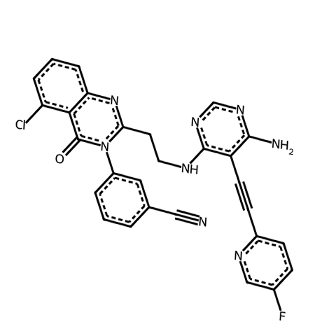 N#Cc1cccc(-n2c(CCNc3ncnc(N)c3C#Cc3ccc(F)cn3)nc3cccc(Cl)c3c2=O)c1